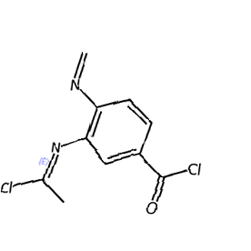 C=Nc1ccc(C(=O)Cl)cc1/N=C(\C)Cl